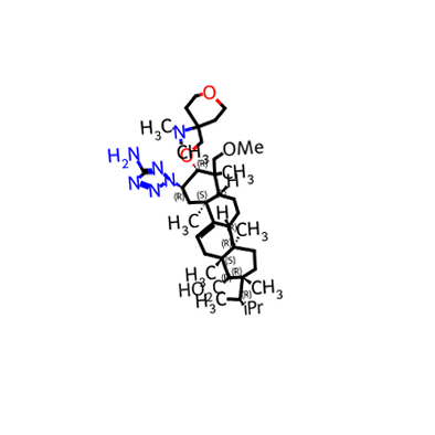 COCC1(C)[C@@H](OCC2(N(C)C)CCOCC2)[C@H](n2nnc(N)n2)C[C@]2(C)C3=CC[C@@]4(C)[C@H](C(=O)O)[C@@](C)([C@H](C)C(C)C)CC[C@]4(C)[C@H]3CC[C@@H]12